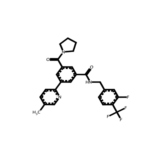 Cc1ccc(-c2cc(C(=O)NCc3ccc(C(F)(F)F)c(F)c3)cc(C(=O)N3CCCC3)c2)nc1